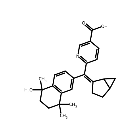 CC1(C)CCC(C)(C)c2cc(C(=C3CCC4CC34)c3ccc(C(=O)O)cn3)ccc21